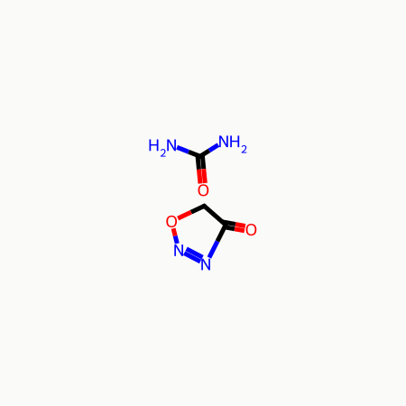 NC(N)=O.O=C1CON=N1